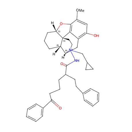 COc1cc(O)c2c3c1O[C@H]1CCC[C@H]4[C@@H](C2)[N+](CC2CC2)(NC(=O)C(CCCC(=O)c2ccccc2)CCc2ccccc2)CC[C@]314